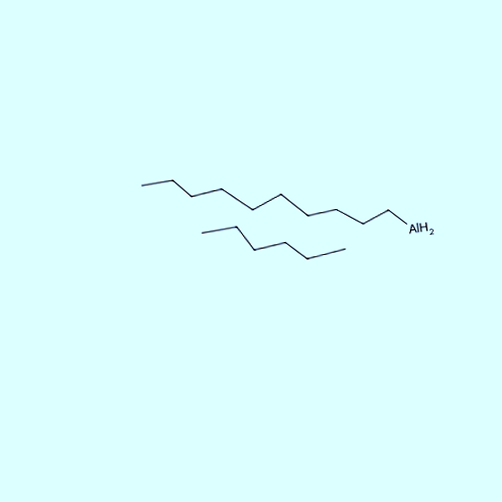 CCCCCC.CCCCCCCCC[CH2][AlH2]